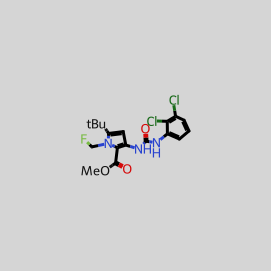 COC(=O)c1c(NC(=O)Nc2cccc(Cl)c2Cl)cc(C(C)(C)C)n1CF